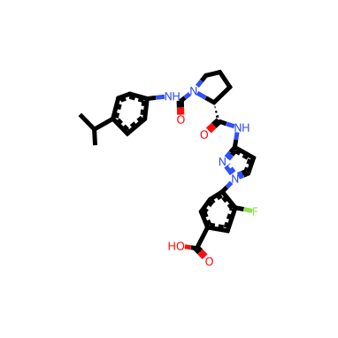 CC(C)c1ccc(NC(=O)N2CCC[C@@H]2C(=O)Nc2ccn(-c3ccc(C(=O)O)cc3F)n2)cc1